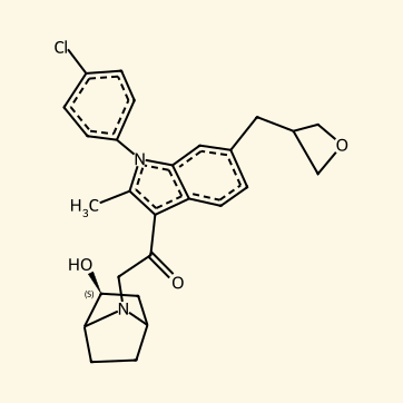 Cc1c(C(=O)CN2C3CCC2[C@@H](O)C3)c2ccc(CC3COC3)cc2n1-c1ccc(Cl)cc1